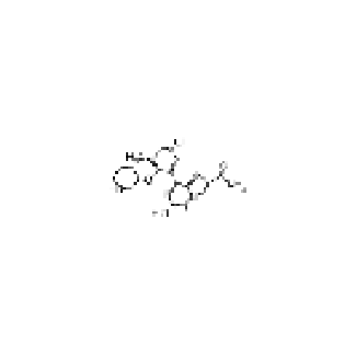 Cc1cc(Cl)cc(-c2ncnn3cc(C(N)=O)cc23)c1O[C@H]1CCCNC1.Cl